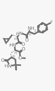 COC(=O)[C@H](C[C@@H]1CC(C)(C)NC1=O)NC(=O)[C@H](CC1CC1)NC(=O)[C@@H](N)Cc1ccc(F)cc1